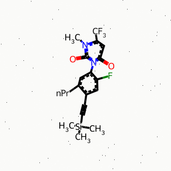 CCCc1cc(-n2c(=O)cc(C(F)(F)F)n(C)c2=O)c(F)cc1C#C[Si](C)(C)C